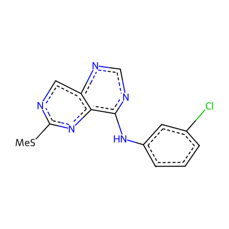 CSc1ncc2ncnc(Nc3cccc(Cl)c3)c2n1